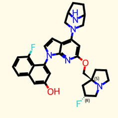 Oc1cc(-n2ccc3c(N4CC5CCC(C4)N5)cc(OC[C@@]45CCCN4C[C@H](F)C5)nc32)c2c(F)cccc2c1